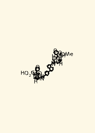 COC(=O)N[C@H](C(=O)N1[C@@H]2C[C@H]2C[C@H]1c1nc(-c2cccc3c(-c4ccc(-c5c[nH]c([C@@H]6C[C@H]7C[C@H]7N6C(=O)[C@H](C6CCOCC6)N(C)C(=O)O)n5)cc4)cccc23)c[nH]1)C1CCOCC1